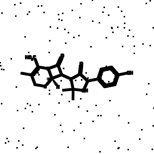 CC1=C(C(=O)O)N2C(=O)C(N3C(=O)C(c4ccc(O)cc4)NC3(C)C)[C@H]2SC1